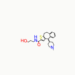 CN1CCC(=C2c3ccccc3CCc3sc(C(=O)NCCCO)cc32)CC1